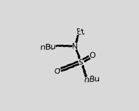 [CH2]CN(CCCC)S(=O)(=O)CCCC